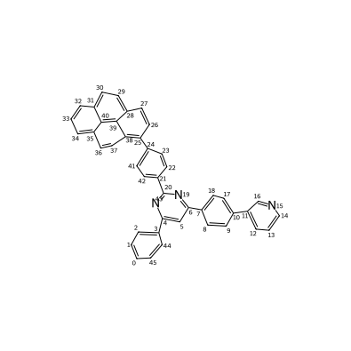 c1ccc(-c2cc(-c3ccc(-c4cccnc4)cc3)nc(-c3ccc(-c4ccc5ccc6cccc7ccc4c5c67)cc3)n2)cc1